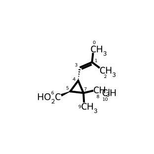 CC(C)=C[C@H]1[C@H](C(=O)O)C1(C)C.Cl